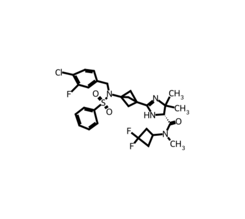 CN(C(=O)[C@@H]1NC(C23CC(N(Cc4ccc(Cl)c(F)c4)S(=O)(=O)c4ccccc4)(C2)C3)=NC1(C)C)C1CC(F)(F)C1